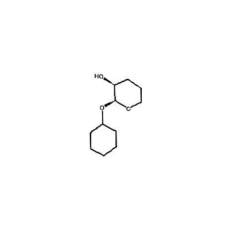 O[C@H]1CCCO[C@H]1OC1CCCCC1